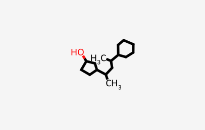 CC(CC(C)C1CCC(O)C1)C1CCCCC1